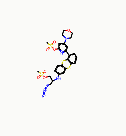 CS(=O)(=O)OCC(CN=[N+]=[N-])Nc1ccc2c(c1)Sc1cccc(-c3cc(N4CCOCC4)cc(OS(C)(=O)=O)n3)c1S2